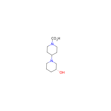 O=C(O)N1CCC(N2CCC[C@@H](O)C2)CC1